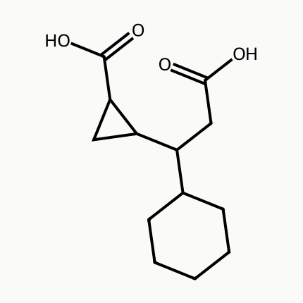 O=C(O)CC(C1CCCCC1)C1CC1C(=O)O